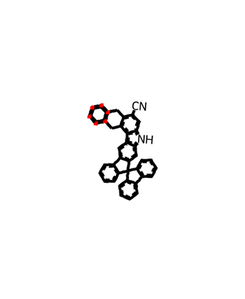 N#Cc1cc2[nH]c3cc4c(cc3c2c2c1C1c3ccccc3C2c2ccccc21)-c1ccccc1C41c2ccccc2-c2ccccc21